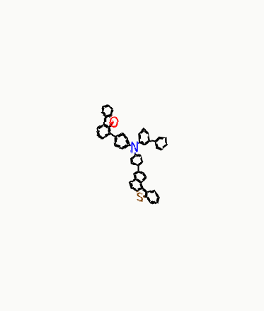 c1ccc(-c2cccc(N(c3ccc(-c4ccc5c(ccc6sc7ccccc7c65)c4)cc3)c3ccc(-c4cccc5c4oc4ccccc45)cc3)c2)cc1